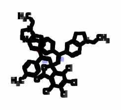 CCN1CCc2cc(/C(=C/C3(/C=C(\c4ccc(C)cc4)c4ccc5c(c4)CCN5CC)OC(=O)c4c(Cl)c(Cl)c(Cl)c(Cl)c43)c3ccc(C)cc3)ccc21